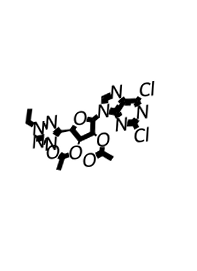 CCn1nnc([C@H]2OC(n3cnc4c(Cl)nc(Cl)nc43)[C@H](OC(C)=O)[C@@H]2OC(C)=O)n1